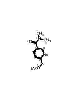 COCc1ccc(C(=O)N(C)C)cn1